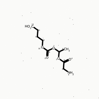 CC(OC(=O)CN)OC(=O)OCCCC(=O)O